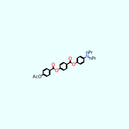 CCCN(CCC)c1ccc(OC(=O)c2ccc(OC(=O)c3ccc(OC(C)=O)cc3)cc2)cc1